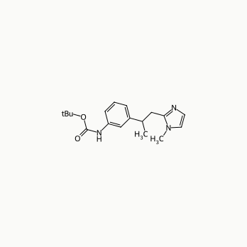 CC(Cc1nccn1C)c1cccc(NC(=O)OC(C)(C)C)c1